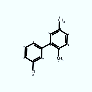 Cc1ccc(C)c(-c2cccc(Cl)c2)c1